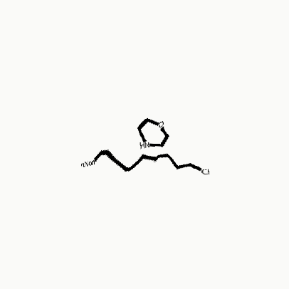 C1COCCN1.CCCCCCCCCCCCCCCCCl